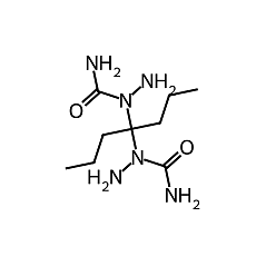 CCCC(CCC)(N(N)C(N)=O)N(N)C(N)=O